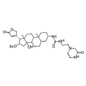 CC(=O)OC1CC2(O)C3CCC4CC(NC(=O)NCCN5CCNC(=O)C5)CCC4(C)C3CCC2(C)C1C1=CC(=O)OC1